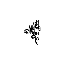 Cc1c(Nc2cc(Cl)c[nH]c2=O)nc(N[C@@H]2CCCN(C(=O)CC#N)C2)nc1N1CCOCC1